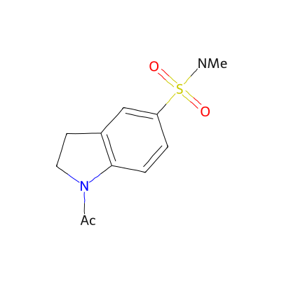 CNS(=O)(=O)c1ccc2c(c1)CCN2C(C)=O